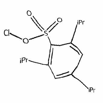 CC(C)c1cc(C(C)C)c(S(=O)(=O)OCl)c(C(C)C)c1